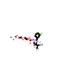 [2H]CC([2H])C(C)(C)C(=O)N(Cc1cc(F)cc(F)c1)OC(=O)OCCOCCOC